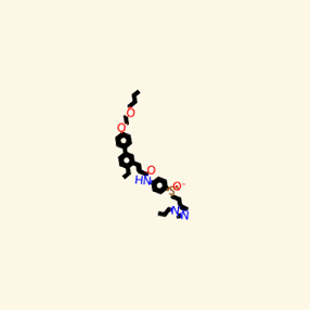 CCCCOCCOc1ccc(-c2ccc(CC)c(/C=C/C(=O)Nc3ccc([S@@+]([O-])CCc4cncn4CCC)cc3)c2)cc1